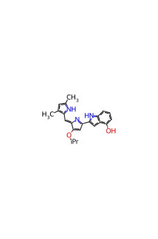 Cc1cc(C)c(C=C2N=C(c3cc4c(O)cccc4[nH]3)C=C2OC(C)C)[nH]1